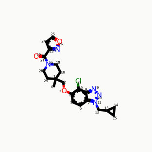 CC1(COc2ccc3c(nnn3CC3CC3)c2Cl)CCN(C(=O)c2ccon2)CC1